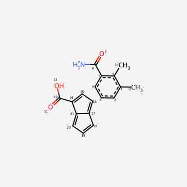 Cc1cccc(C(N)=O)c1C.O=C(O)C1=CC=C2C=CC=C21